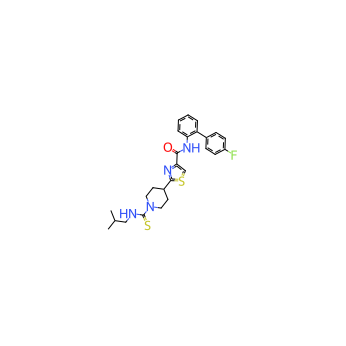 CC(C)CNC(=S)N1CCC(c2nc(C(=O)Nc3ccccc3-c3ccc(F)cc3)cs2)CC1